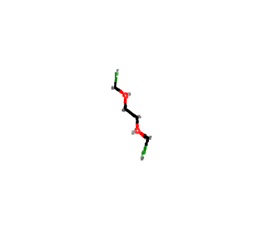 FCOCCOCF